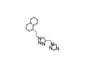 c1ccc2c(CCn3cc(Cn4cncn4)nn3)cccc2c1